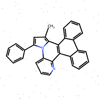 Cc1cc(-c2ccccc2)n2c3cccnc3c3c4ccccc4c4ccccc4c3c12